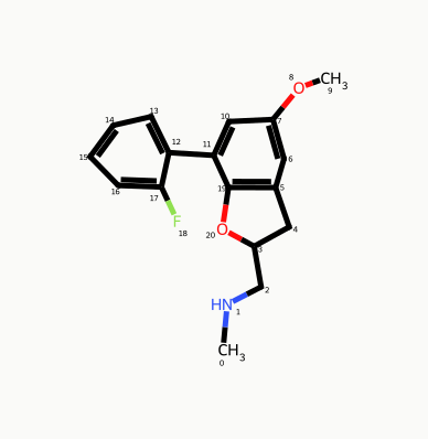 CNCC1Cc2cc(OC)cc(-c3ccccc3F)c2O1